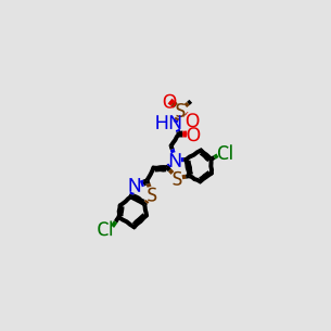 CS(=O)(=O)NC(=O)CN1/C(=C/c2nc3cc(Cl)ccc3s2)Sc2ccc(Cl)cc21